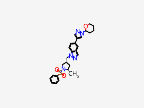 C[C@H]1C[C@@H](Cn2ncc3cc(-c4cnn(C5CCCCO5)c4)ccc32)CN1S(=O)(=O)c1ccccc1